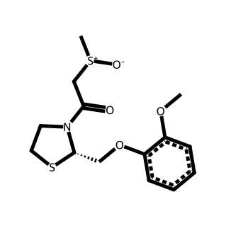 COc1ccccc1OC[C@@H]1SCCN1C(=O)C[S+](C)[O-]